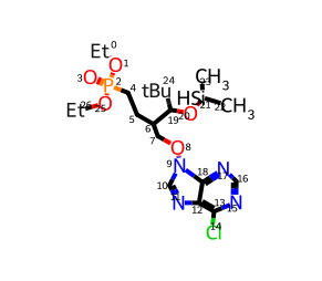 CCOP(=O)(CCC(COn1cnc2c(Cl)ncnc21)C(O[SiH](C)C)C(C)(C)C)OCC